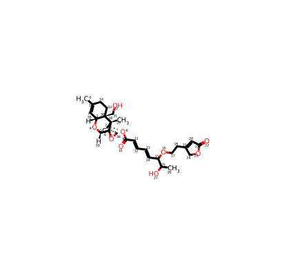 CC1=C[C@H]2O[C@@H]3C[C@@H](OC(=O)/C=C/C=C/C(OCCC4=CC(=O)OC4)C(C)O)[C@](C)([C@@]2(CO)CC1)[C@]31CO1